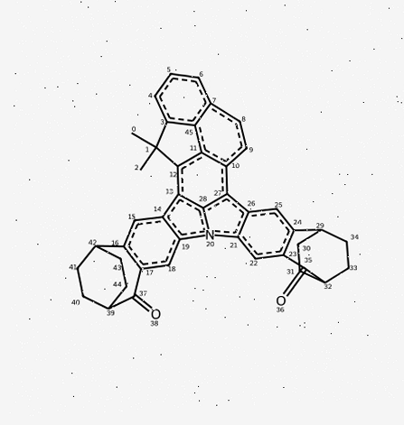 CC1(C)c2cccc3ccc4c(c1c1c5cc6c(cc5n5c7cc8c(cc7c4c15)C1CCC(CC1)C8=O)C(=O)C1CCC6CC1)c23